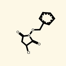 O=C1CC(Cl)C(=O)N1OCc1ccccc1